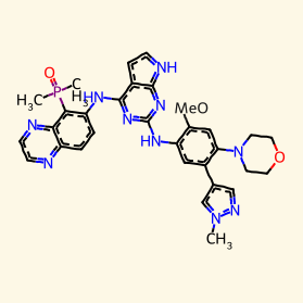 COc1cc(N2CCOCC2)c(-c2cnn(C)c2)cc1Nc1nc(Nc2ccc3nccnc3c2P(C)(C)=O)c2cc[nH]c2n1